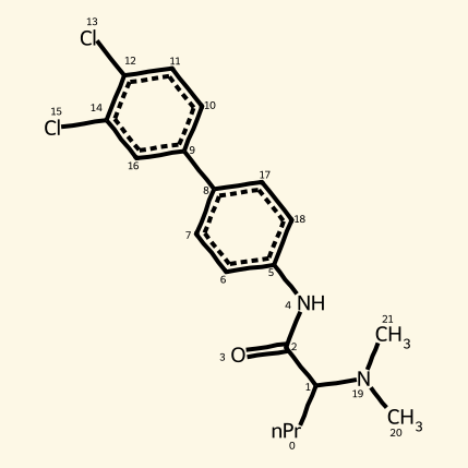 CCCC(C(=O)Nc1ccc(-c2ccc(Cl)c(Cl)c2)cc1)N(C)C